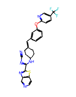 N#CN=C(NC1CCC(=Cc2cccc(Oc3ccc(C(F)(F)F)cn3)c2)CC1)c1nc2cnccc2s1